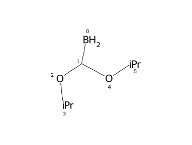 BC(OC(C)C)OC(C)C